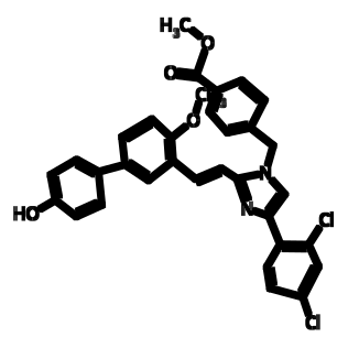 COC(=O)c1ccc(Cn2cc(-c3ccc(Cl)cc3Cl)nc2C=Cc2cc(-c3ccc(O)cc3)ccc2OC)cc1